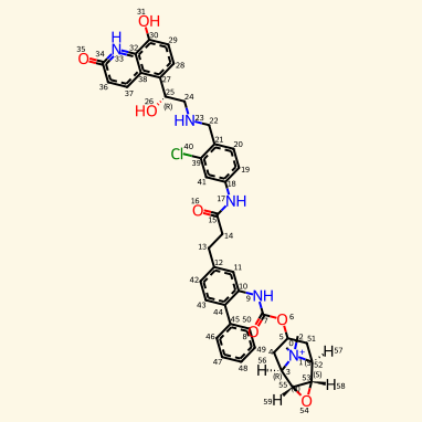 C[N+]1(C)[C@@H]2CC(OC(=O)Nc3cc(CCC(=O)Nc4ccc(CNC[C@H](O)c5ccc(O)c6[nH]c(=O)ccc56)c(Cl)c4)ccc3-c3ccccc3)C[C@H]1[C@@H]1O[C@@H]12